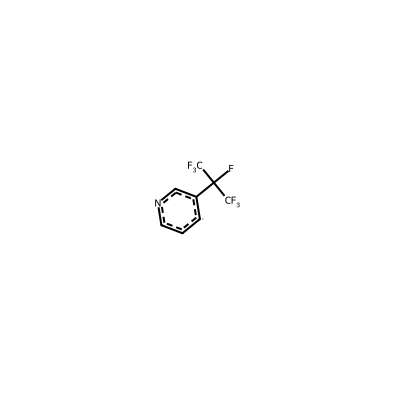 FC(F)(F)C(F)(c1[c]ccnc1)C(F)(F)F